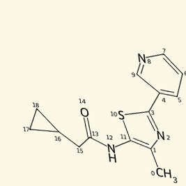 Cc1nc(-c2cccnc2)sc1NC(=O)CC1CC1